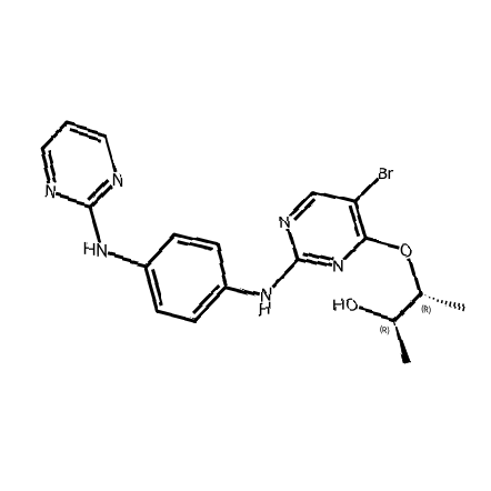 C[C@@H](O)[C@@H](C)Oc1nc(Nc2ccc(Nc3ncccn3)cc2)ncc1Br